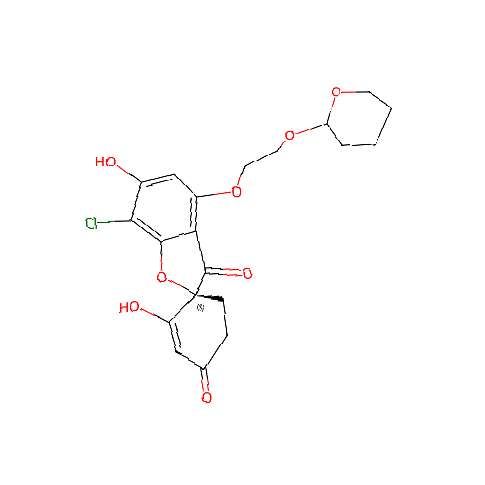 O=C1C=C(O)[C@]2(CC1)Oc1c(Cl)c(O)cc(OCCOC3CCCCO3)c1C2=O